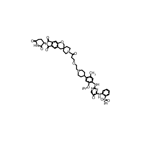 Cc1cc(Nc2ncc(Cl)c(Nc3ccccc3S(=O)(=O)C(C)C)n2)c(OC(C)C)cc1C1CCN(CCOCCC(=O)N2CCC3(CC2)COc2cc4c(cc2C3)C(=O)N(C2CCC(=O)NC2=O)C4=O)CC1